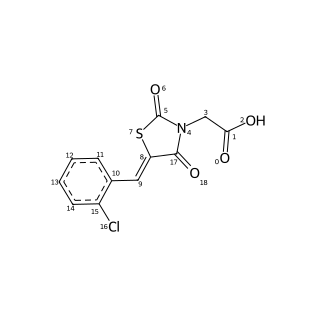 O=C(O)CN1C(=O)S/C(=C\c2ccccc2Cl)C1=O